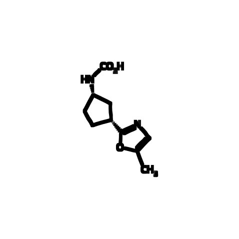 Cc1cnc([C@@H]2CC[C@H](NC(=O)O)C2)o1